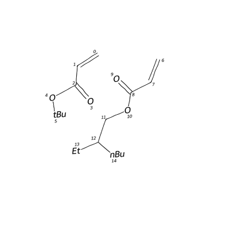 C=CC(=O)OC(C)(C)C.C=CC(=O)OCC(CC)CCCC